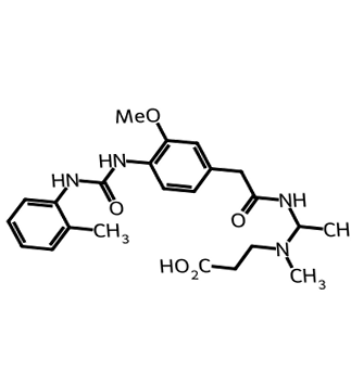 COc1cc(CC(=O)NC(C)N(C)CCC(=O)O)ccc1NC(=O)Nc1ccccc1C